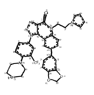 O=c1c2nnn(-c3ccc(N4CCNCC4)c(C(F)(F)F)c3)c2c2cc(-c3ccc4c(c3)OCO4)ccc2n1CCn1cccc1